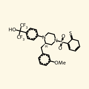 COc1cccc(C[C@@H]2CN(S(=O)(=O)C3=CC=CCC3=S)CCN2c2ccc(C(O)(C(F)(F)F)C(F)(F)F)cc2)c1